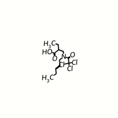 CC/C=C/CN(CC(CC)C(=O)O)C(=O)C(Cl)(Cl)Cl